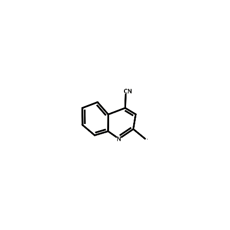 [CH2]c1cc(C#N)c2ccccc2n1